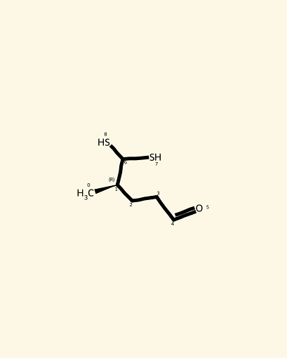 C[C@H](CCC=O)C(S)S